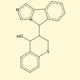 OC1c2ccccc2SCC1C1c2ccccc2-c2cncn21